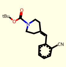 CC(C)(C)OC(=O)N1CCC(=Cc2ccccc2C#N)CC1